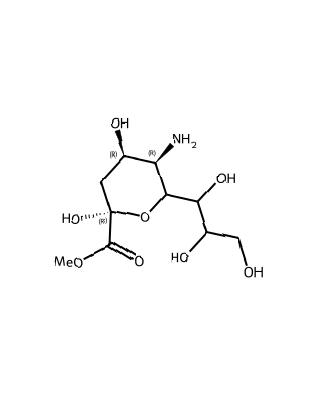 COC(=O)[C@@]1(O)C[C@@H](O)[C@@H](N)C(C(O)C(O)CO)O1